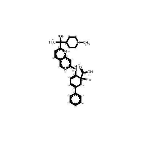 CN1CCC(C(C)(O)c2ccc3cnc(NC4=CC=C(c5ccccc5)CC4(F)C(=O)O)cc3n2)CC1